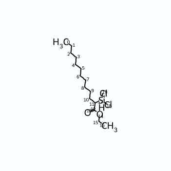 CCCCCCCCCCCC(C(=O)OCC)[SiH](Cl)Cl